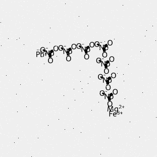 [Fe+3].[Mg+2].[O]=[Nb](=[O])[O-].[O]=[Nb](=[O])[O-].[O]=[Nb](=[O])[O-].[O]=[Nb](=[O])[O-].[O]=[Nb](=[O])[O-].[O]=[Nb](=[O])[O-].[O]=[Nb](=[O])[O-].[Pb+2]